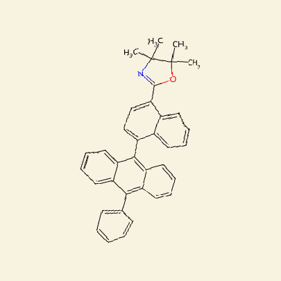 CC1(C)N=C(c2ccc(-c3c4ccccc4c(-c4ccccc4)c4ccccc34)c3ccccc23)OC1(C)C